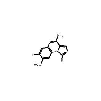 Cc1ncc2c(N)nc3cc(F)c(C(=O)O)cc3n12